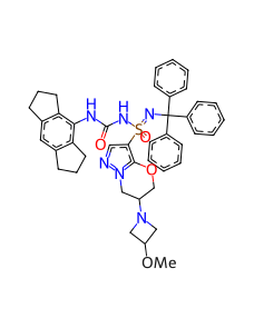 COC1CN(C2COc3c(S(=O)(=NC(c4ccccc4)(c4ccccc4)c4ccccc4)NC(=O)Nc4c5c(cc6c4CCC6)CCC5)cnn3C2)C1